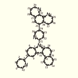 c1ccc(-c2ccc3c(c2)c2c4ccccc4ccc2n3-c2ccc(-c3cc4cccnc4c4ncccc34)cn2)nc1